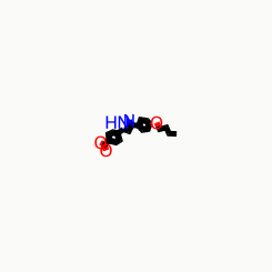 CCCCOc1ccc(-c2cc(-c3ccc(C(=O)OC)cc3)[nH]n2)cc1